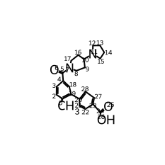 Cc1ccc(C(=O)N2CCC(N3CCCC3)CC2)cc1-c1ccc(C(=O)O)cc1